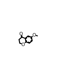 COc1ccc2c(c1)C(=O)CCO2